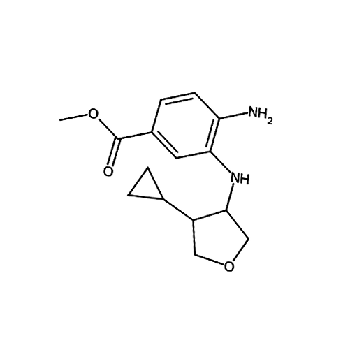 COC(=O)c1ccc(N)c(NC2COCC2C2CC2)c1